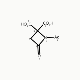 CC(=O)N1C(=O)CC1(C(=O)O)C(=O)O